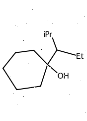 CCC(C(C)C)C1(O)CCCCC1